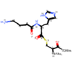 COC(=O)C(CSC(=O)C(Cc1cnc[nH]1)NC(=O)CCCN)NC(C)=O